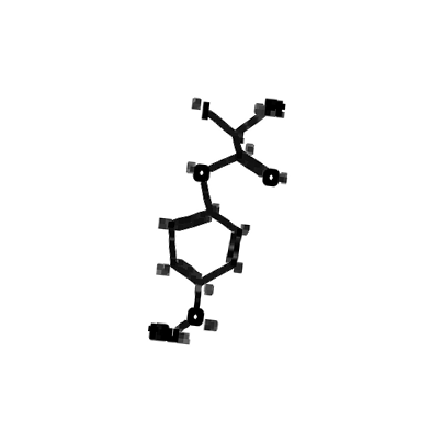 CCC(I)C(=O)Oc1ccc(OC(C)(C)C)cc1